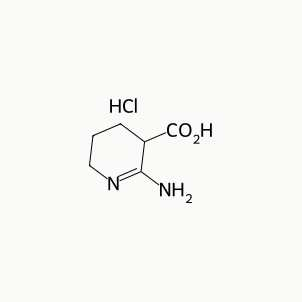 Cl.NC1=NCCCC1C(=O)O